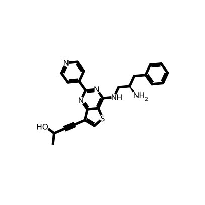 CC(O)C#Cc1csc2c(NC[C@H](N)Cc3ccccc3)nc(-c3ccncc3)nc12